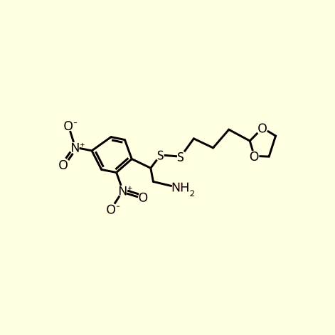 NCC(SSCCCC1OCCO1)c1ccc([N+](=O)[O-])cc1[N+](=O)[O-]